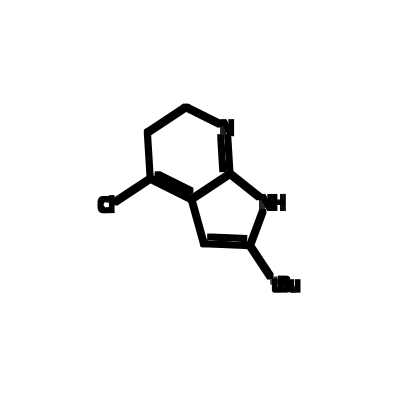 CC(C)(C)c1cc2c([nH]1)=NCCC=2Cl